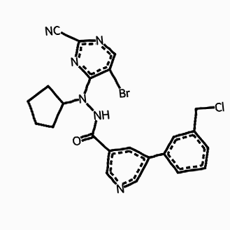 N#Cc1ncc(Br)c(N(NC(=O)c2cncc(-c3cccc(CCl)c3)c2)C2CCCC2)n1